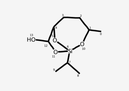 CC1CCC2O[Si](C(C)C)(O1)OC2O